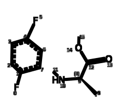 Fc1[c]cc(F)cc1.[CH2][C@@H](NC)C(=O)OC